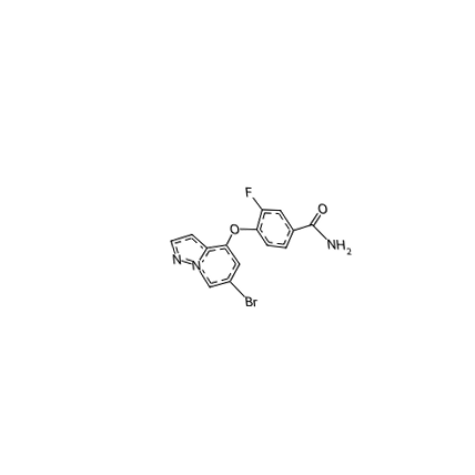 NC(=O)c1ccc(Oc2cc(Br)cn3nccc23)c(F)c1